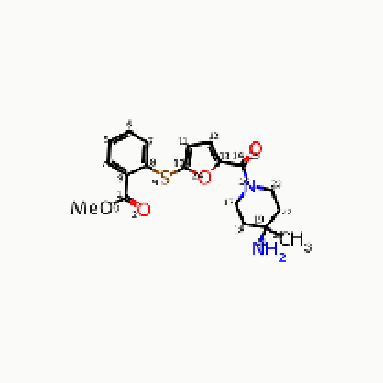 COC(=O)c1ccccc1Sc1ccc(C(=O)N2CCC(C)(N)CC2)o1